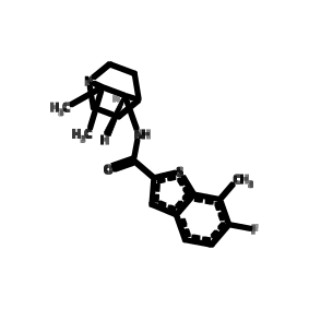 Cc1c(F)ccc2cc(C(=O)N[C@H]3C4CCN(CC4)C3(C)C)sc12